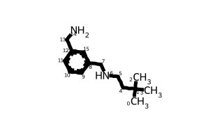 CC(C)(C)CCNCc1cccc(CN)c1